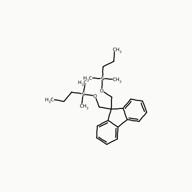 CCC[Si](C)(C)OCC1(CO[Si](C)(C)CCC)c2ccccc2-c2ccccc21